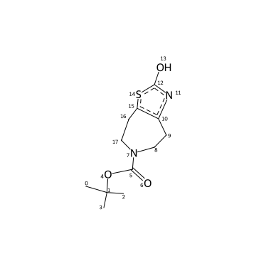 CC(C)(C)OC(=O)N1CCc2nc(O)sc2CC1